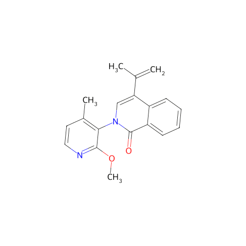 C=C(C)c1cn(-c2c(C)ccnc2OC)c(=O)c2ccccc12